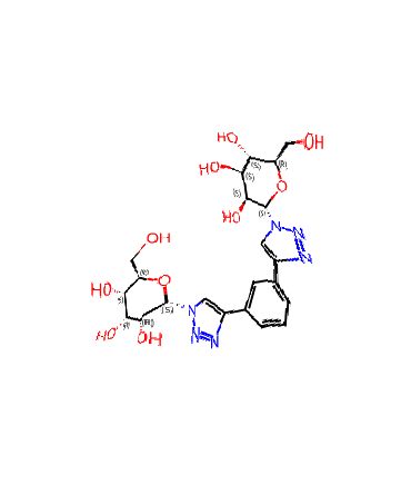 OC[C@H]1O[C@H](n2cc(-c3cccc(-c4cn([C@H]5O[C@H](CO)[C@@H](O)[C@H](O)[C@@H]5O)nn4)c3)nn2)[C@H](O)[C@H](O)[C@@H]1O